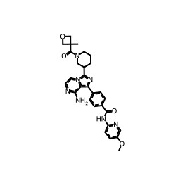 COc1ccc(NC(=O)c2ccc(-c3nc(C4CCCN(C(=O)C5(C)COC5)C4)n4ccnc(N)c34)cc2)nc1